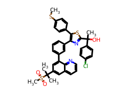 CSc1ccc(-c2sc(C(C)(O)c3ccc(Cl)cc3)nc2-c2cccc(-c3cc(C(C)(C)S(C)(=O)=O)cc4cccnc34)c2)cc1